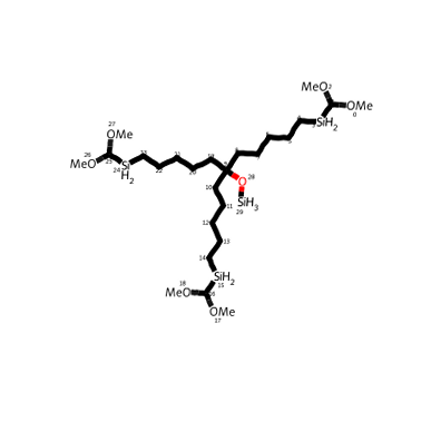 COC(OC)[SiH2]CCCCCC(CCCCC[SiH2]C(OC)OC)(CCCCC[SiH2]C(OC)OC)O[SiH3]